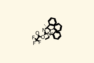 CC[N+]1(c2ccccc2)C(OC(=O)C(F)(F)F)=N[C@@](C)(c2ccccc2)[C@H]1c1ccccc1